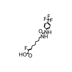 O=C(NCCCCC/C=C(\F)C(=O)O)Nc1ccc(C(F)(F)F)cc1